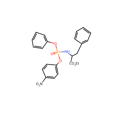 CCOC(=O)C(Cc1ccccc1)NP(=O)(Oc1ccccc1)Oc1ccc([N+](=O)[O-])cc1